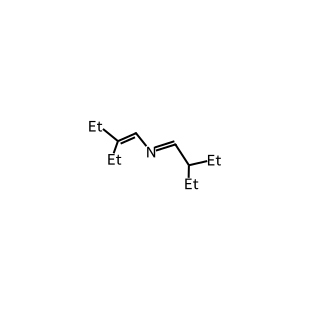 CCC(=CN=CC(CC)CC)CC